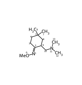 CO/N=C1\CCC(C)(C)CC1CN(C)C